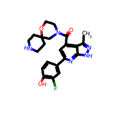 Cc1n[nH]c2nc(-c3ccc(O)c(F)c3)cc(C(=O)N3CCOC4(CCNCC4)C3)c12